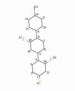 FC1CCC(C2CCC(C3CCC(I)CC3)C(F)C2)C(F)C1